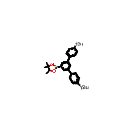 CC1OB(c2cc(-c3ccc(C(C)(C)C)cc3)cc(-c3ccc(C(C)(C)C)cc3)c2)OC1(C)C